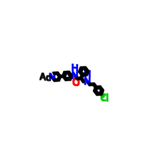 CC(=O)N1CCC(c2ccc(NC(=O)C(CNCCc3ccc(Cl)cc3)c3ccccc3)cc2)CC1